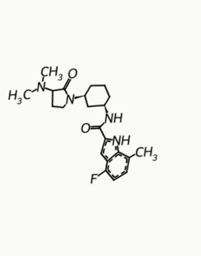 Cc1ccc(F)c2cc(C(=O)N[C@@H]3CCC[C@H](N4CCC(N(C)C)C4=O)C3)[nH]c12